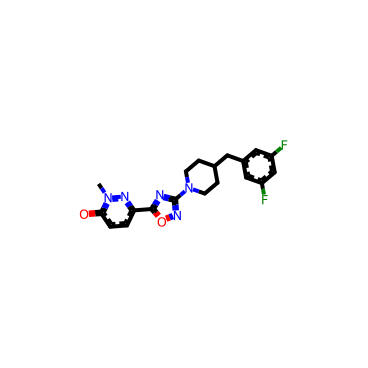 Cn1nc(-c2nc(N3CCC(Cc4cc(F)cc(F)c4)CC3)no2)ccc1=O